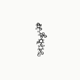 O=C(CCl)N1CCN(c2ccc(N3CC(COc4ccon4)OC3=O)cc2F)CC1